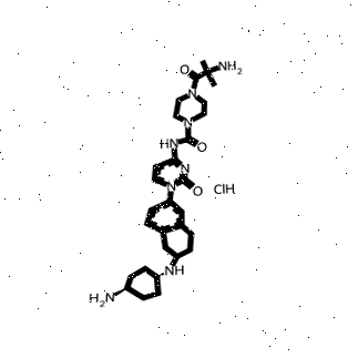 CC(C)(N)C(=O)N1CCN(C(=O)Nc2ccn(-c3ccc4c(c3)CCC(N[C@H]3CC[C@H](N)CC3)C4)c(=O)n2)CC1.Cl